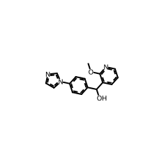 COc1ncccc1C(O)c1ccc(-n2ccnc2)cc1